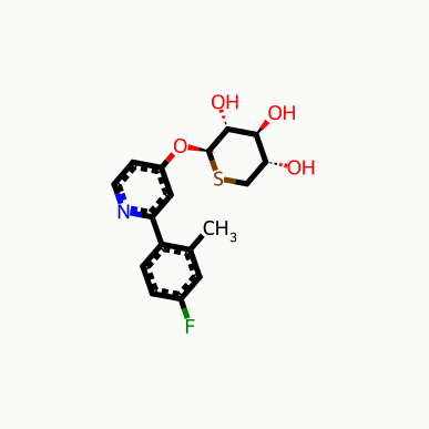 Cc1cc(F)ccc1-c1cc(O[C@@H]2SC[C@@H](O)[C@H](O)[C@H]2O)ccn1